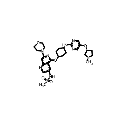 CN1CC[C@H](Oc2cnc(NC3CCC(Oc4nc(N5CCOCC5)cc5ncc(NS(C)(=O)=O)cc45)CC3)nc2)C1